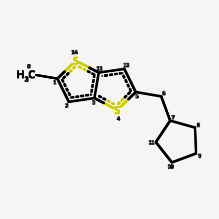 Cc1cc2sc(CC3CCCC3)cc2s1